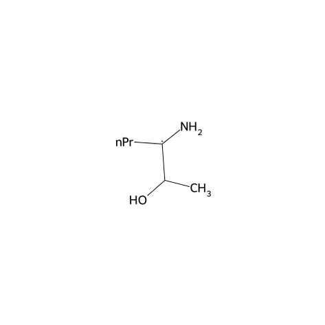 CCC[C](N)C(C)O